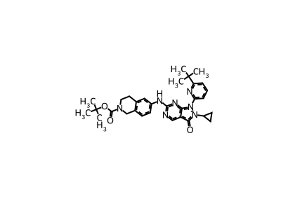 CC(C)(C)OC(=O)N1CCc2cc(Nc3ncc4c(=O)n(C5CC5)n(-c5cccc(C(C)(C)C)n5)c4n3)ccc2C1